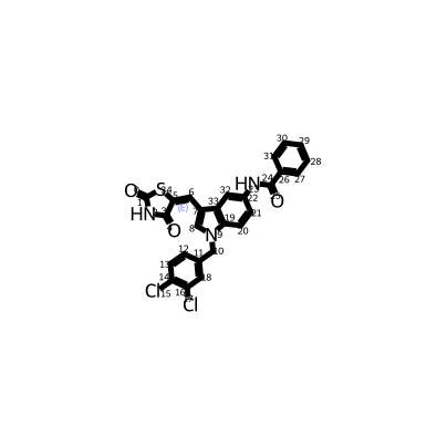 O=C1NC(=O)/C(=C\c2cn(Cc3ccc(Cl)c(Cl)c3)c3ccc(NC(=O)c4ccccc4)cc23)S1